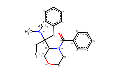 CCC(Cc1ccccc1)(C1COCCN1C(=O)c1ccccc1)N(C)C